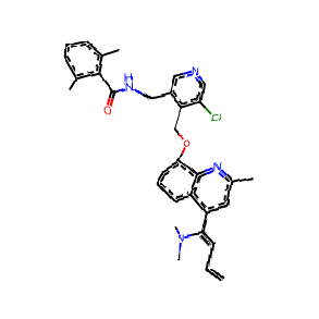 C=C/C=C(/c1cc(C)nc2c(OCc3c(Cl)cncc3CNC(=O)c3c(C)cccc3C)cccc12)N(C)C